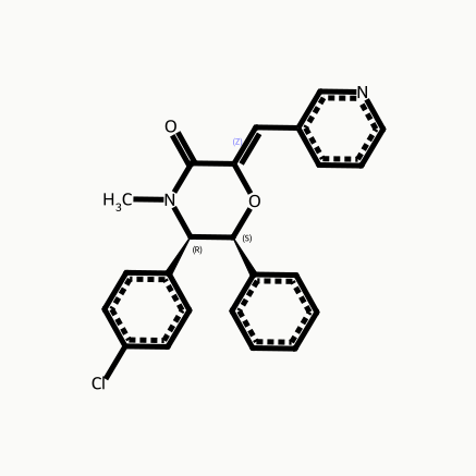 CN1C(=O)/C(=C/c2cccnc2)O[C@@H](c2ccccc2)[C@H]1c1ccc(Cl)cc1